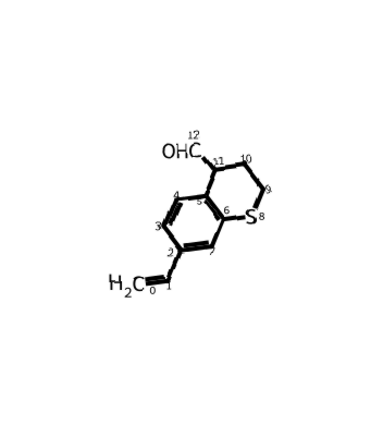 C=Cc1ccc2c(c1)SCCC2C=O